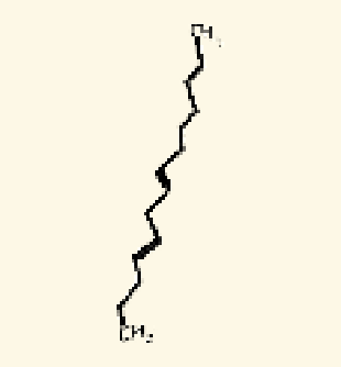 [CH2]CCC=CCC=CCCCCCC